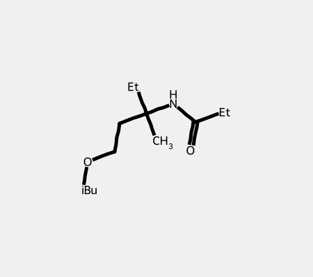 CCC(=O)NC(C)(CC)CCOC(C)CC